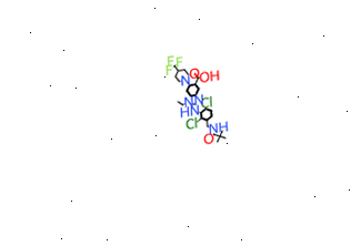 CCn1c(Nc2c(Cl)ccc(CNC(=O)C(C)(C)C)c2Cl)nc2cc(C(=O)O)c(N3CCC(C(F)(F)F)CC3)cc21